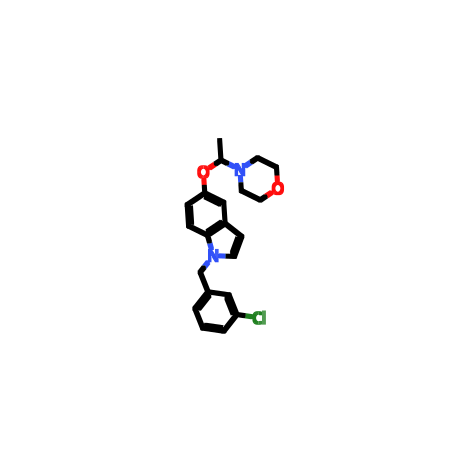 CC(Oc1ccc2c(ccn2Cc2cccc(Cl)c2)c1)N1CCOCC1